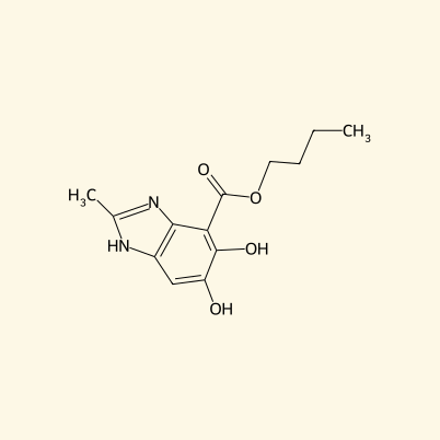 CCCCOC(=O)c1c(O)c(O)cc2[nH]c(C)nc12